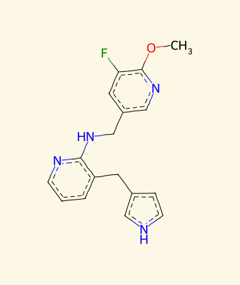 COc1ncc(CNc2ncccc2Cc2cc[nH]c2)cc1F